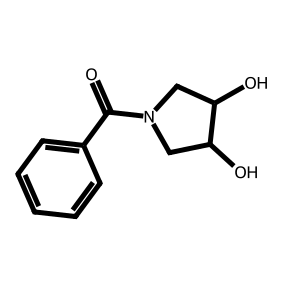 O=C(c1ccccc1)N1CC(O)C(O)C1